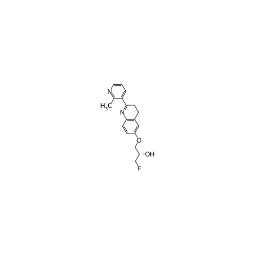 Cc1ncccc1C1=Nc2ccc(OC[C@H](O)CF)cc2CC1